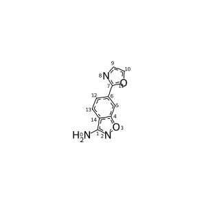 Nc1noc2cc(-c3ncco3)ccc12